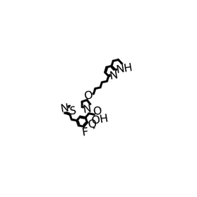 COc1c(F)cc(Cc2cncs2)cc1C(C(=O)O)N1CC[C@@H](OCCCCCc2ccc3c(n2)NCCC3)C1